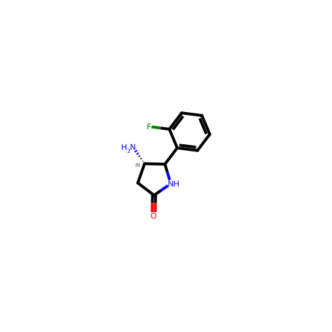 N[C@H]1CC(=O)NC1c1ccccc1F